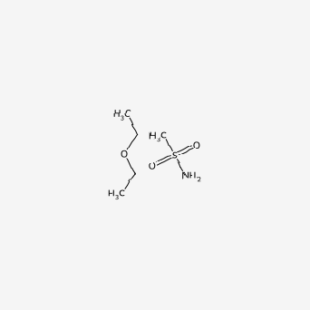 CCOCC.CS(N)(=O)=O